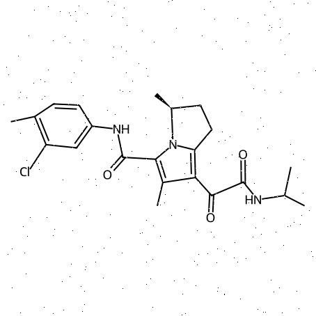 Cc1ccc(NC(=O)c2c(C)c(C(=O)C(=O)NC(C)C)c3n2[C@@H](C)CC3)cc1Cl